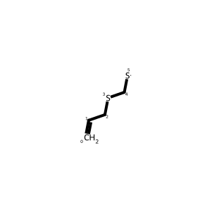 C=CCSC[S]